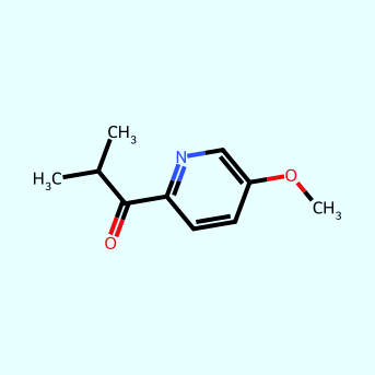 COc1ccc(C(=O)C(C)C)nc1